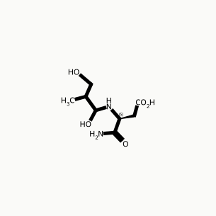 CC(CO)C(O)N[C@@H](CC(=O)O)C(N)=O